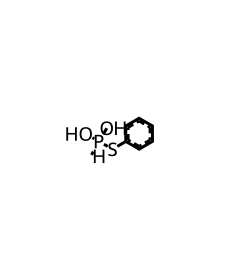 C[PH](O)(O)Sc1ccccc1